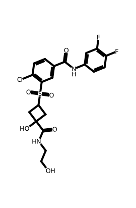 O=C(Nc1ccc(F)c(F)c1)c1ccc(Cl)c(S(=O)(=O)C2CC(O)(C(=O)NCCO)C2)c1